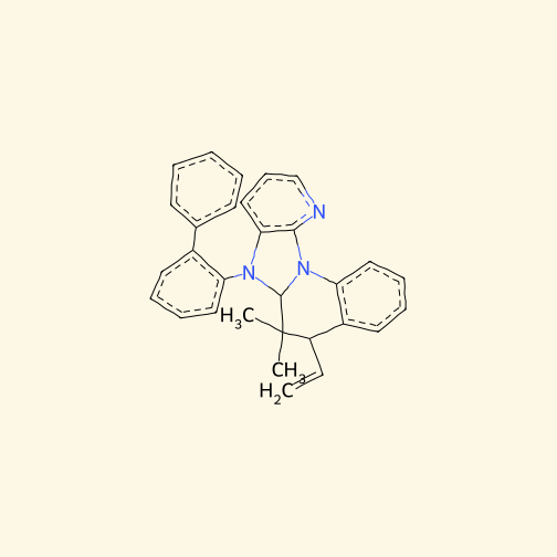 C=CC1c2ccccc2N2c3ncccc3N(c3ccccc3-c3ccccc3)C2C1(C)C